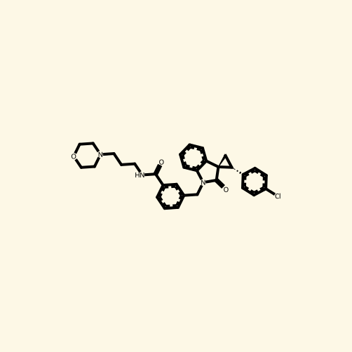 O=C(NCCCN1CCOCC1)c1cccc(CN2C(=O)[C@]3(C[C@@H]3c3ccc(Cl)cc3)c3ccccc32)c1